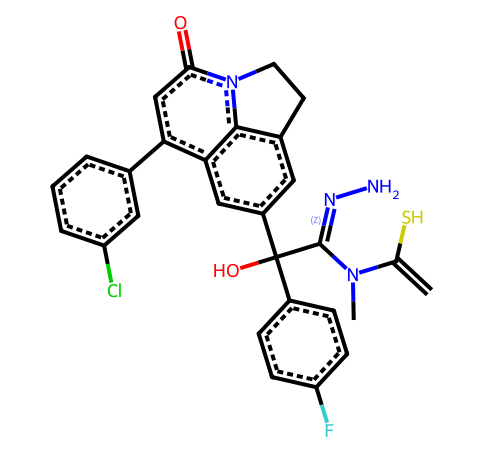 C=C(S)N(C)/C(=N\N)C(O)(c1ccc(F)cc1)c1cc2c3c(c1)c(-c1cccc(Cl)c1)cc(=O)n3CC2